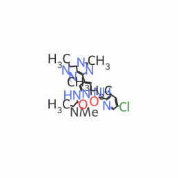 CNC(C)C(=O)Nc1cc(-c2nc(C)nc3c(C)nn(C)c23)cc(NC(=O)c2ncc(Cl)cc2C)n1